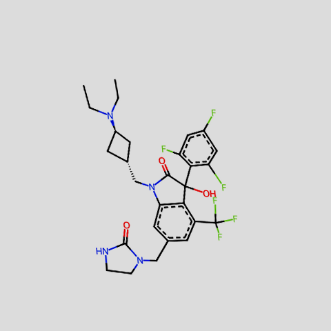 CCN(CC)[C@H]1C[C@H](CN2C(=O)C(O)(c3c(F)cc(F)cc3F)c3c2cc(CN2CCNC2=O)cc3C(F)(F)F)C1